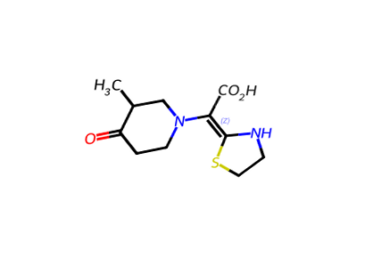 CC1CN(/C(C(=O)O)=C2/NCCS2)CCC1=O